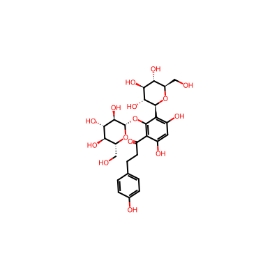 O=C(CCc1ccc(O)cc1)c1c(O)cc(O)c([C@@H]2O[C@H](CO)[C@@H](O)[C@H](O)[C@H]2O)c1O[C@@H]1O[C@H](CO)[C@@H](O)[C@H](O)[C@H]1O